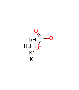 [K+].[K+].[LiH].[LiH].[O]=[Ti]([O-])[O-]